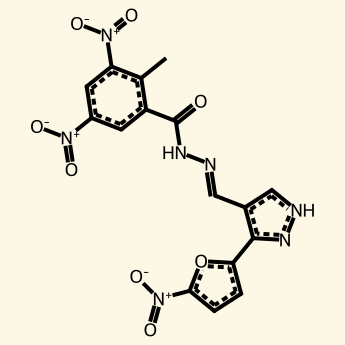 Cc1c(C(=O)NN=Cc2c[nH]nc2-c2ccc([N+](=O)[O-])o2)cc([N+](=O)[O-])cc1[N+](=O)[O-]